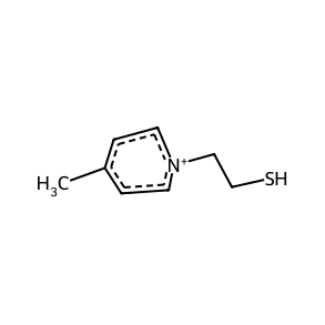 Cc1cc[n+](CCS)cc1